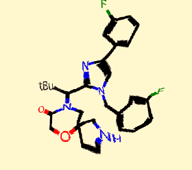 CC(C)(C)C(c1nc(-c2cccc(F)c2)cn1Cc1cccc(F)c1)N1CC2(CCNC2)OCC1=O